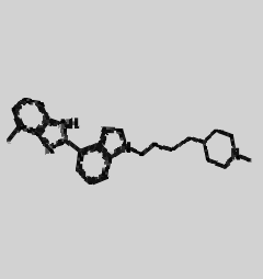 Cc1cccc2[nH]c(-c3cccc4c3ccn4CCCCC3CCN(C)CC3)nc12